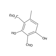 CCOC(=O)c1c(C)cc(O)c(C=O)c1O